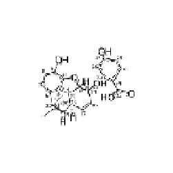 CN1CC[C@]23c4c5ccc(O)c4O[C@H]2[C@@H](O)C=C[C@H]3[C@H]1C5.O=C(O)c1ccc(O)cc1